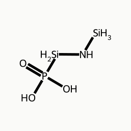 O=P(O)(O)[SiH2]N[SiH3]